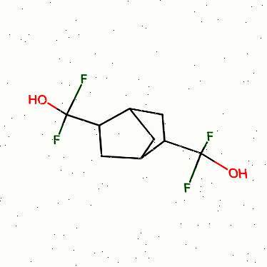 OC(F)(F)C1CC2CC1CC2C(O)(F)F